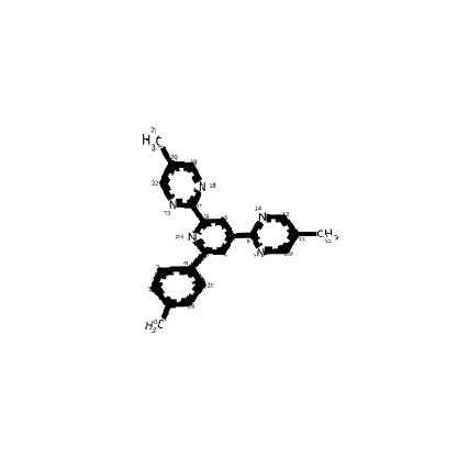 Cc1ccc(-c2cc(-c3ncc(C)cn3)cc(-c3ncc(C)cn3)n2)cc1